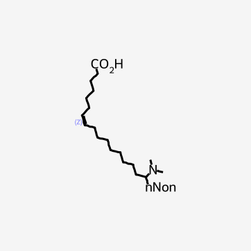 CCCCCCCCCC(CCCCCCCC/C=C\CCCCCC(=O)O)N(C)C